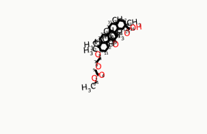 CCOC(=O)COCCO[C@H]1CC[C@]2(C)[C@H]3C(=O)C=C4[C@@H]5C[C@@](C)(C(=O)O)CC[C@]5(C)CC[C@@]4(C)[C@]3(C)CC[C@H]2C1(C)C